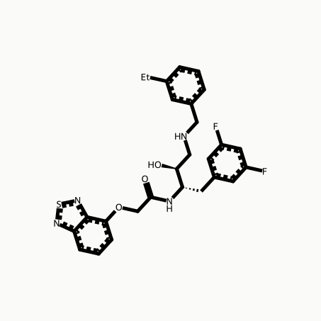 CCc1cccc(CNC[C@H](O)[C@H](Cc2cc(F)cc(F)c2)NC(=O)COc2cccc3nsnc23)c1